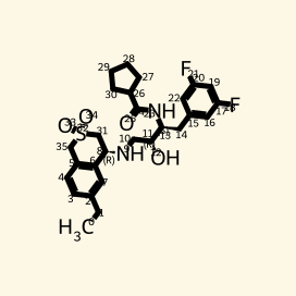 CCc1ccc2c(c1)[C@@H](NC[C@@H](O)[C@H](Cc1cc(F)cc(F)c1)NC(=O)C1CCCC1)CS(=O)(=O)C2